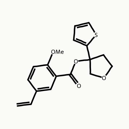 C=Cc1ccc(OC)c(C(=O)OC2(c3cccs3)CCOC2)c1